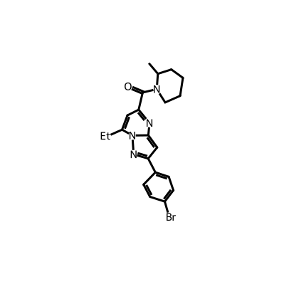 CCc1cc(C(=O)N2CCCCC2C)nc2cc(-c3ccc(Br)cc3)nn12